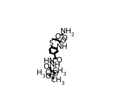 CC(C)(C(=O)NNC(=O)c1ccc2c(c1)NC(=O)[C@@H](OC(N)=O)CS2)S(C)(=O)=O